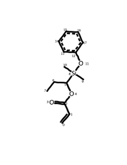 C=CC(=O)OC(CC)[Si](C)(C)Oc1ccccc1